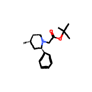 C[C@@H]1CCN(CC(=O)OC(C)(C)C)[C@H](c2ccccc2)C1